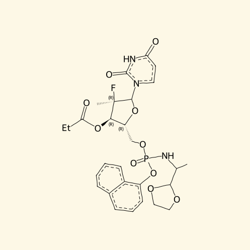 CCC(=O)O[C@@H]1[C@@H](COP(=O)(NC(C)C2OCCO2)Oc2cccc3ccccc23)OC(n2ccc(=O)[nH]c2=O)[C@]1(C)F